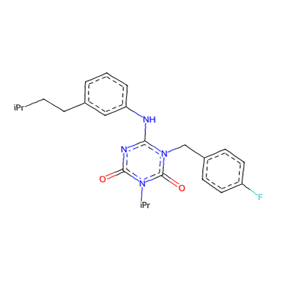 CC(C)CCc1cccc(Nc2nc(=O)n(C(C)C)c(=O)n2Cc2ccc(F)cc2)c1